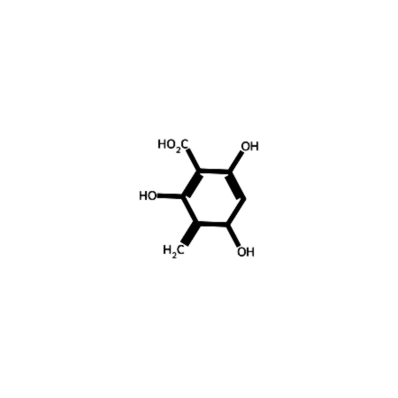 C=C1C(O)=C(C(=O)O)C(O)=CC1O